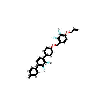 C=CCOc1ccc(COC2CCC(c3ccc(-c4ccc(C)cc4)c(F)c3F)CC2)c(F)c1F